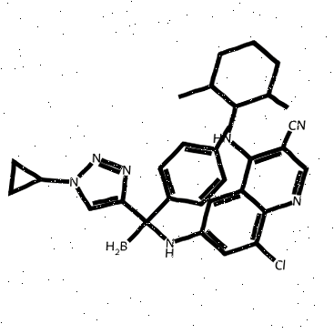 BC(Nc1cc(Cl)c2ncc(C#N)c(NC3C(C)CCCC3C)c2c1)(c1ccc(F)cc1)c1cn(C2CC2)nn1